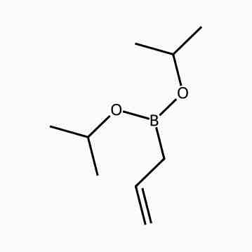 C=CCB(OC(C)C)OC(C)C